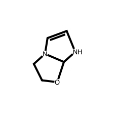 C1=CN2CCOC2N1